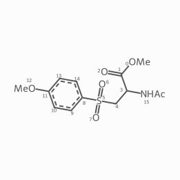 COC(=O)C(CS(=O)(=O)c1ccc(OC)cc1)NC(C)=O